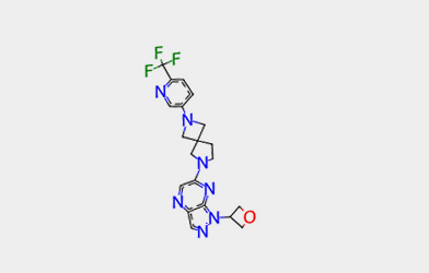 FC(F)(F)c1ccc(N2CC3(CCN(c4cnc5cnn(C6COC6)c5n4)C3)C2)cn1